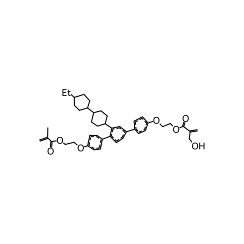 C=C(C)C(=O)OCCOc1ccc(-c2ccc(-c3ccc(OCCOC(=O)C(=C)CO)cc3)cc2C2CCC(C3CCC(CC)CC3)CC2)cc1